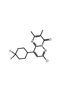 Cc1nc2c(C3CCC(F)(F)CC3)cc(Cl)nn2c(=O)c1C